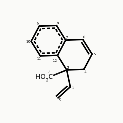 C=CC1(C(=O)O)CC=Cc2ccccc21